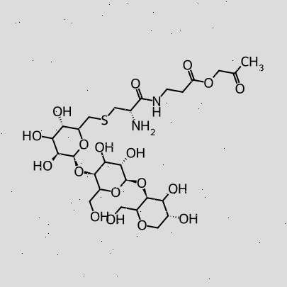 CC(=O)COC(=O)CCNC(=O)[C@H](N)CSCC1O[C@@H](O[C@@H]2C(CO)O[C@H](O[C@@H]3C(CO)OC[C@@H](O)C3O)[C@@H](O)C2O)[C@@H](O)C(O)[C@@H]1O